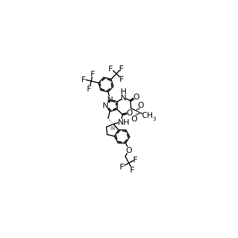 CS(=O)(=O)CC(=O)Nc1c2c(nn1-c1cc(C(F)(F)F)cc(C(F)(F)F)c1)C[C@]1(CCc3cc(OCC(F)(F)F)ccc31)NC2=O